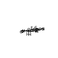 Cc1cc(NC(=O)NCCCN2CCOCC2)ccc1Oc1ccnc2c1c(C(F)(F)F)cn2COCC[Si](C)(C)C